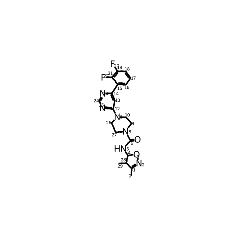 CC1=NOC(NC(=O)N2CCN(c3cc(-c4cccc(F)c4F)ncn3)CC2)C1C